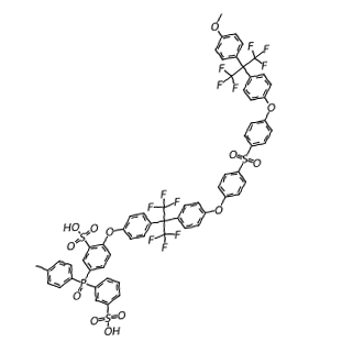 COc1ccc(C(c2ccc(Oc3ccc(S(=O)(=O)c4ccc(Oc5ccc(C(c6ccc(Oc7ccc(P(=O)(c8ccc(C)cc8)c8cccc(S(=O)(=O)O)c8)cc7S(=O)(=O)O)cc6)(C(F)(F)F)C(F)(F)F)cc5)cc4)cc3)cc2)(C(F)(F)F)C(F)(F)F)cc1